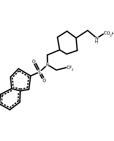 O=C(O)NCC1CCC(CN(CC(F)(F)F)S(=O)(=O)c2ccc3ccccc3c2)CC1